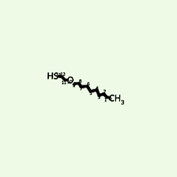 CCCCCCCCCCOCCS